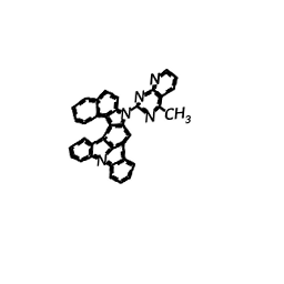 Cc1nc(-n2c3ccc4ccccc4c3c3c4c5ccccc5n5c6ccccc6c(cc32)c45)nc2ncccc12